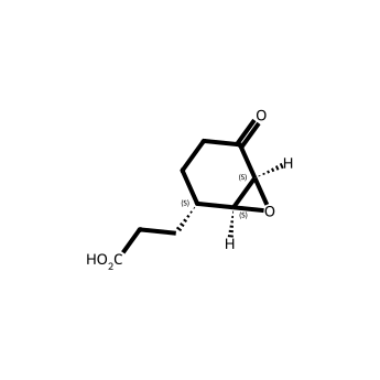 O=C(O)CC[C@@H]1CCC(=O)[C@H]2O[C@@H]12